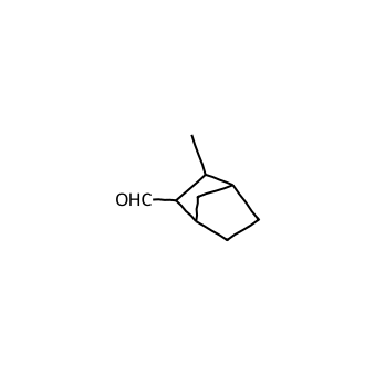 CC1C2CCC(C2)C1C=O